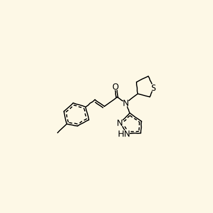 Cc1ccc(C=CC(=O)N(c2cc[nH]n2)C2CCSC2)cc1